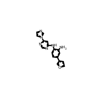 Nc1cc(-c2ccoc2)ccc1Nc1cc(-n2ccnc2)ncn1